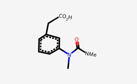 CNC(=O)N(C)c1cccc(CC(=O)O)c1